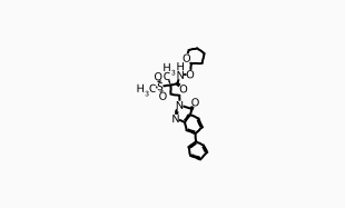 C[C@](CCn1cnc2cc(-c3ccccc3)ccc2c1=O)(C(=O)NOC1CCCCO1)S(C)(=O)=O